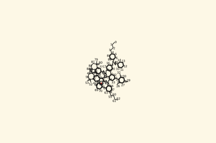 CCCCc1ccc(N(c2ccccc2)c2ccc3c(c2)-c2cc(-c4c(C)cc(C)cc4C)cc4c2B(c2c(oc5cc6c(cc25)C(C)(C)CCC6(C)C)N4c2ccc(CCCC)cc2-c2ccccc2)N3c2ccc3c(c2)C(C)(C)CCC3(C)C)cc1